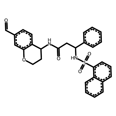 O=Cc1ccc2c(c1)OCCC2NC(=O)CC(NS(=O)(=O)c1cccc2ccccc12)c1ccccc1